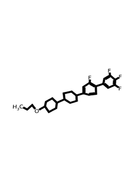 CCCOC1CCC(C2CCC(c3ccc(-c4cc(F)c(F)c(F)c4)c(F)c3)CC2)CC1